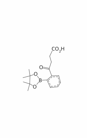 CC1(C)OB(c2ccccc2C(=O)CCC(=O)O)OC1(C)C